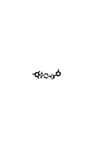 Cc1cccc(-c2csc(N3CCN(S(=O)(=O)c4c(C)cc(C)cc4C)CC3)n2)c1